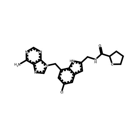 Nc1ncnc2c1ncn2Cc1cc(Cl)cc2cc(CNC(=O)C3CCCO3)[nH]c12